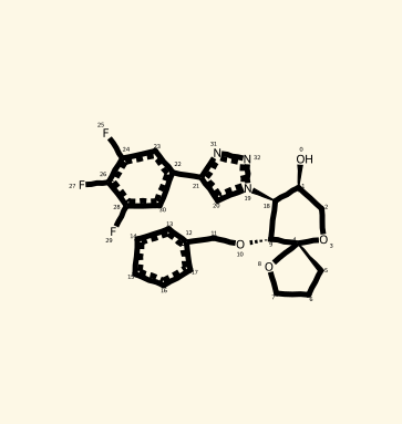 O[C@H]1CO[C@@]2(CCCO2)[C@H](OCc2ccccc2)[C@H]1n1cc(-c2cc(F)c(F)c(F)c2)nn1